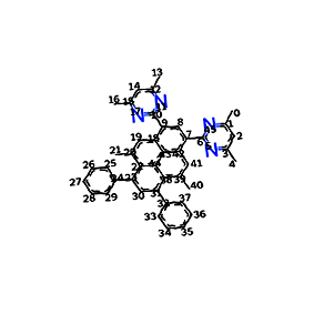 Cc1cc(C)nc(-c2cc(-c3nc(C)cc(C)n3)c3cc(C)c4c(-c5ccccc5)cc(-c5ccccc5)c5c(C)cc2c3c54)n1